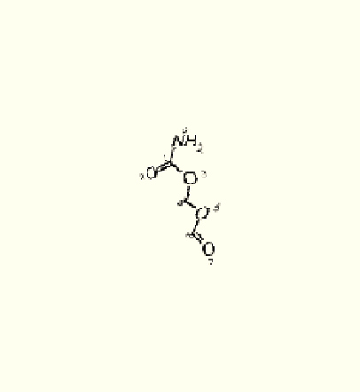 NC(=O)OCO[C]=O